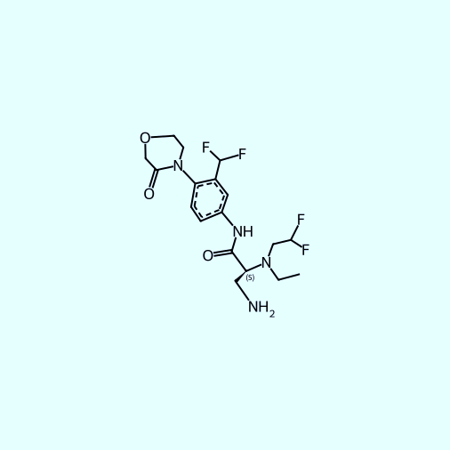 CCN(CC(F)F)[C@@H](CN)C(=O)Nc1ccc(N2CCOCC2=O)c(C(F)F)c1